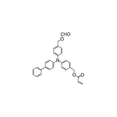 C=CC(=O)OCc1ccc(N(c2ccc(COC=O)cc2)c2ccc(-c3ccccc3)cc2)cc1